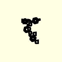 Cc1ccc(C(Cn2ccnc2)OCC2CCCC(OCc3ccc(Cl)cc3Cl)O2)cc1